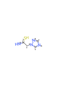 N=C(S)Cn1cncn1